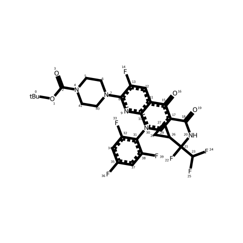 CC(C)(C)OC(=O)N1CCN(c2nc3c(cc2F)c(=O)c(C(=O)NC(F)(C(F)F)C2CC2)cn3-c2c(F)cc(F)cc2F)CC1